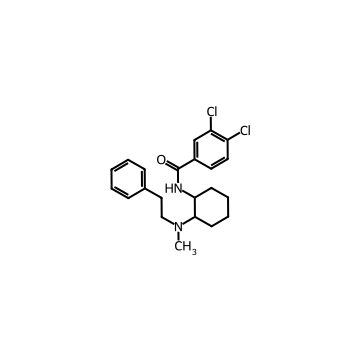 CN(CCc1ccccc1)C1CCCCC1NC(=O)c1ccc(Cl)c(Cl)c1